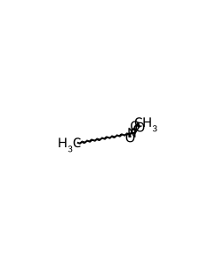 CC/C=C/C/C=C/C/C=C/C/C=C/C/C=C/C/C=C/CCC(=O)n1ccc(OC(C)=O)c1